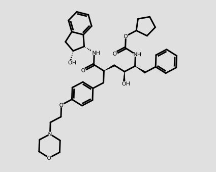 O=C(N[C@@H](Cc1ccccc1)[C@@H](O)C[C@@H](Cc1ccc(OCCN2CCOCC2)cc1)C(=O)N[C@H]1c2ccccc2C[C@H]1O)OC1CCCC1